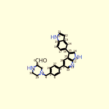 O=CC1CN(Cc2ccc(-c3cnc4[nH]cc(-c5ccc6[nH]ccc6c5)c4c3)cc2)CCN1